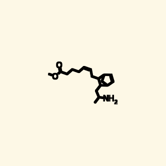 COC(=O)CCC/C=C\CC1C2C=CC(C2)C1CC(C)N